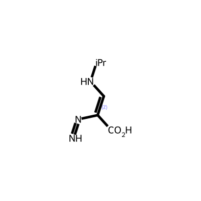 CC(C)N/C=C(\N=N)C(=O)O